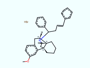 Br.COc1ccc2c(c1)[C@@]13CCCC[C@H]1[C@@H](C2)N(C(CC=Cc1ccccc1)c1ccccc1)CC3